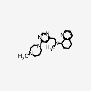 CN1CCCN(c2cc(CN(C)C3CCCc4cccnc43)ncn2)CC1